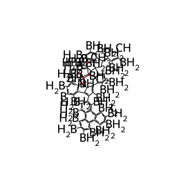 B=C(B)C1=C(/C(B)=C(/B)C)C2(C/C(=C(B)\C(B)=C(\B)C#C)c3c(B)c(B)c(B)c(B)c32)c2c(B)c(B)c(B)c(C3=C(B)C(c4c(B)c(B)c5c6c(B)c(B)c(B)c(B)c6c6c(B)c(B)c(B)c(B)c6c5c4B)=C4c5c(B)c(B)c(B)c(B)c5N(C5=C(B)C(B)=C(B)C5B)C34)c21